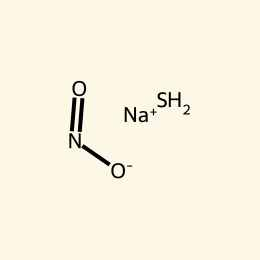 O=N[O-].S.[Na+]